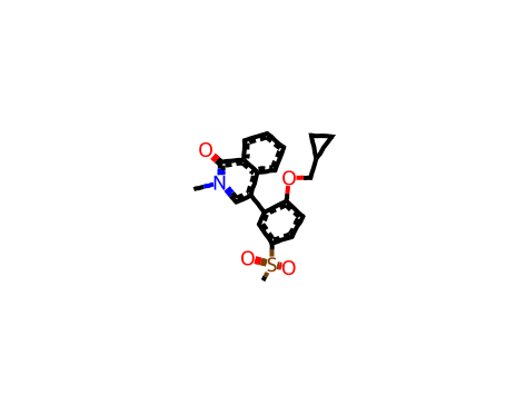 Cn1cc(-c2cc(S(C)(=O)=O)ccc2OCC2CC2)c2ccccc2c1=O